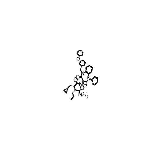 C=CC[C@H](C(N)=O)[C@@H](CC1CC1)C(=O)NC1CN(c2ccccc2)c2ccccc2N(Cc2cccc(Oc3ccccc3)c2)C1=O